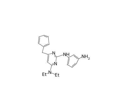 CCN(CC)c1cc(Cc2ccccc2)nc(Nc2cccc(N)c2)n1